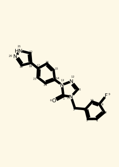 O=c1n(Cc2cccc(F)c2)cnn1-c1ccc(-c2cn[nH]c2)cc1